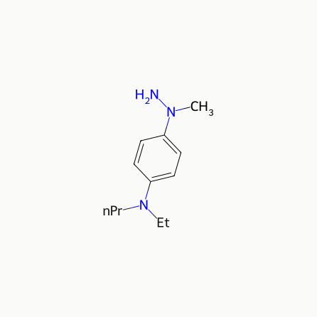 CCCN(CC)c1ccc(N(C)N)cc1